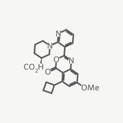 COc1cc(C2CCC2)c2c(=O)oc(-c3cccnc3N3CCC[C@H](C(=O)O)C3)nc2c1